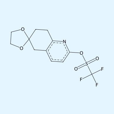 O=S(=O)(Oc1ccc2c(n1)CCC1(C2)OCCO1)C(F)(F)F